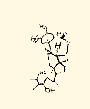 CC(C)[C@H](C)[C@@H](O)[C@H](O)[C@@H](C)[C@H]1CC[C@H]2[C@@H]3COC(=O)[C@@H]4C[C@H](O)[C@H](O)C[C@]4(C)[C@H]3CC[C@]12C